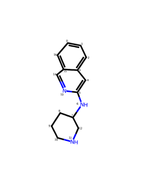 c1ccc2cc(NC3CCCNC3)ncc2c1